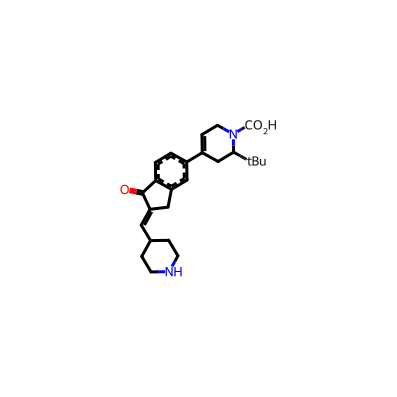 CC(C)(C)C1CC(c2ccc3c(c2)C/C(=C\C2CCNCC2)C3=O)=CCN1C(=O)O